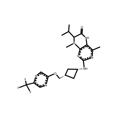 Cc1nc(N[C@H]2C[C@@H](COc3cnc(C(F)(F)F)cn3)C2)nc2c1NC(=O)C(C(C)C)N2C